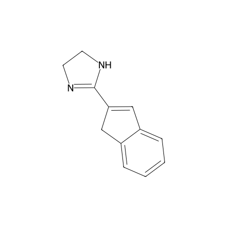 C1=C(C2=NCCN2)Cc2ccccc21